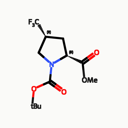 COC(=O)[C@H]1C[C@@H](C(F)(F)F)CN1C(=O)OC(C)(C)C